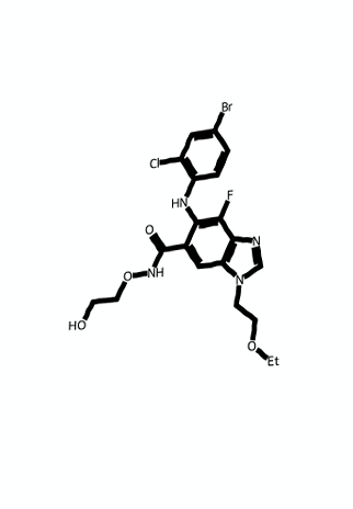 CCOCCn1cnc2c(F)c(Nc3ccc(Br)cc3Cl)c(C(=O)NOCCO)cc21